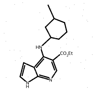 CCOC(=O)c1cnc2[nH]ccc2c1NC1CCCC(C)C1